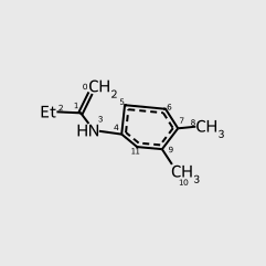 C=C(CC)Nc1ccc(C)c(C)c1